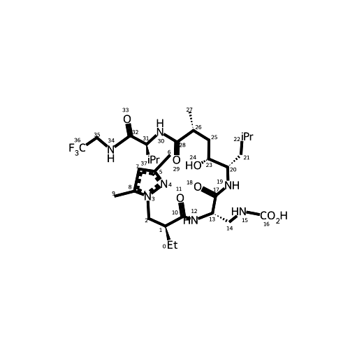 CC[C@@H](Cn1nc(C)cc1C)C(=O)N[C@@H](CNC(=O)O)C(=O)N[C@@H](CC(C)C)[C@H](O)C[C@@H](C)C(=O)N[C@H](C(=O)NCC(F)(F)F)C(C)C